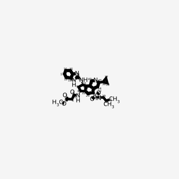 COC(=O)CC(=O)N[C@@H]1C[C@@H](Nc2nc3ccccc3[nH]2)c2c1cc(S(=O)(=O)NCC(C)C)c1cc(C3CC3)ncc21